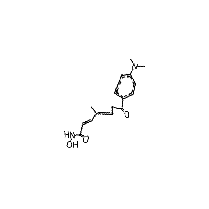 CC(/C=C/C(=O)NO)=C\CC(=O)c1ccc(N(C)C)cc1